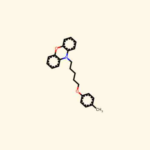 Cc1ccc(OCCCCCN2c3ccccc3Oc3ccccc32)cc1